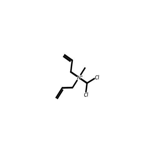 C=CC[N+](C)(CC=C)C(Cl)Cl